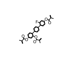 C=C(C)C(=O)Oc1ccc(-c2ccc(-c3ccc(OC(=O)C(=C)C)cc3OC(=O)C(=C)C)cc2)c(F)c1